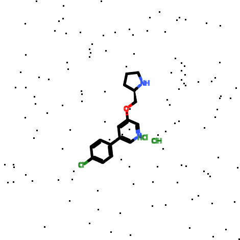 Cl.Cl.Clc1ccc(-c2cncc(OC[C@H]3CCCN3)c2)cc1